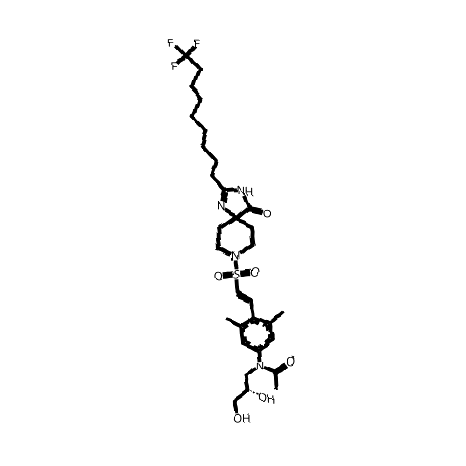 CC(=O)N(C[C@H](O)CO)c1cc(C)c(C=CS(=O)(=O)N2CCC3(CC2)N=C(CCCCCCCCC(F)(F)F)NC3=O)c(C)c1